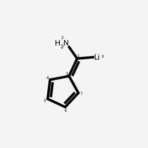 [Li][C](N)=C1C=CC=C1